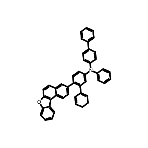 C1=CC(c2cc(N(c3ccccc3)c3ccc(-c4ccccc4)cc3)ccc2-c2ccc3c(ccc4oc5ccccc5c43)c2)=CCC1